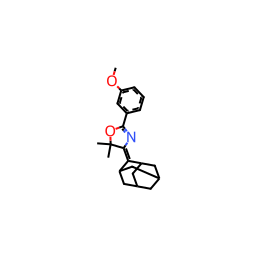 COc1cccc(C2=NC(=C3C4CC5CC(C4)CC3C5)C(C)(C)O2)c1